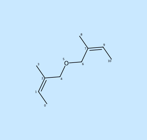 C/C=C(/C)COC/C(C)=C\C